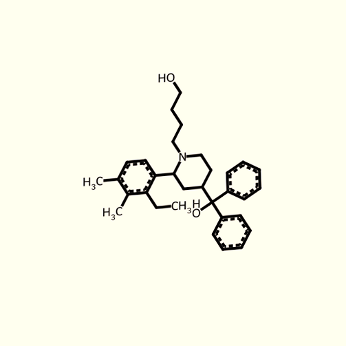 CCc1c(C2CC(C(O)(c3ccccc3)c3ccccc3)CCN2CCCCO)ccc(C)c1C